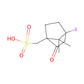 CC1(C)C2(I)CCC1(CS(=O)(=O)O)C(=O)C2